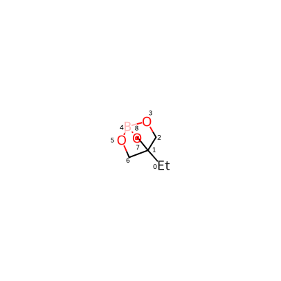 CCC12COB(OC1)OC2